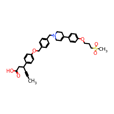 CC#CC(CC(=O)O)c1ccc(OCc2ccc(CN3CC=C(c4ccc(OCCCS(C)(=O)=O)cc4)CC3)cc2)cc1